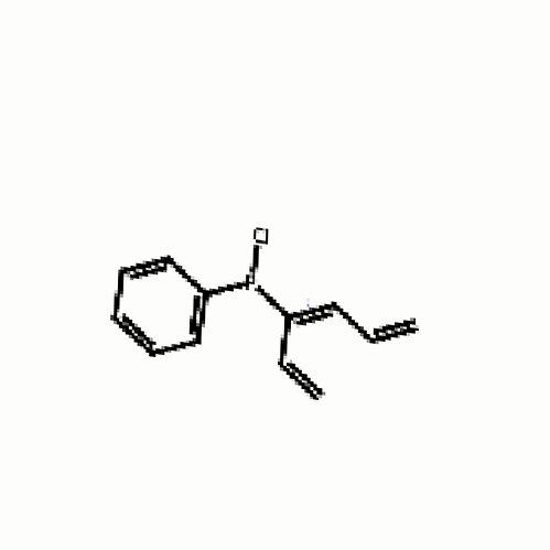 C=C/C=C(\C=C)P(Cl)c1ccccc1